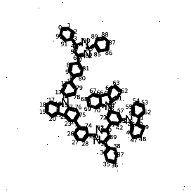 c1ccc(-c2cc(-c3ccc(-c4ccc(-n5c6ccccc6c6cc(-c7cccc(-c8nc(-c9ccccc9)cc(-c9cc(-n%10c%11ccccc%11c%11ccccc%11%10)cc(-n%10c%11ccccc%11c%11ccccc%11%10)c9)n8)c7)ccc65)cc4)cc3)nc(-c3ccccc3)n2)cc1